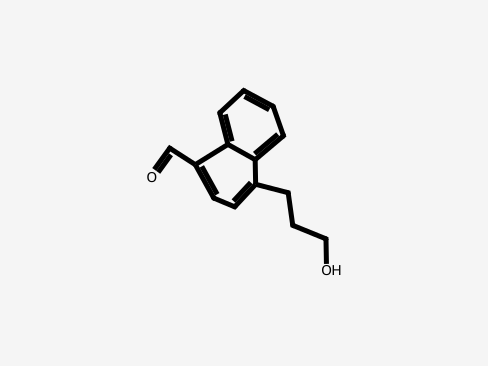 O=Cc1ccc(CCCO)c2ccccc12